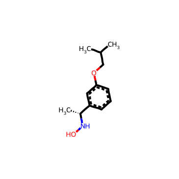 CC(C)COc1cccc([C@@H](C)NO)c1